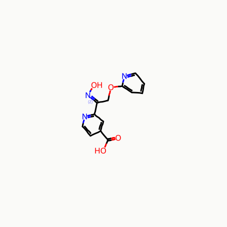 O=C(O)c1ccnc(/C(COc2ccccn2)=N/O)c1